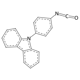 O=C=Nc1ccc(-n2c3ccccc3c3ccccc32)cc1